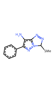 CSC1N=Nc2c(N)c(-c3ccccc3)nn21